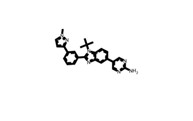 Cn1ccc(-c2cccc(-c3nc4cc(-c5cnc(N)nc5)ccc4n3C(C)(C)C)c2)n1